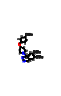 COc1ccc(OC2CCN(c3nncc4cc(OC)c(OC)cc34)CC2)cc1